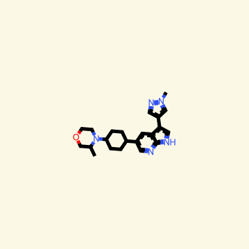 CC1COCCN1C1CCC(c2cnc3[nH]cc(-c4cnn(C)c4)c3c2)CC1